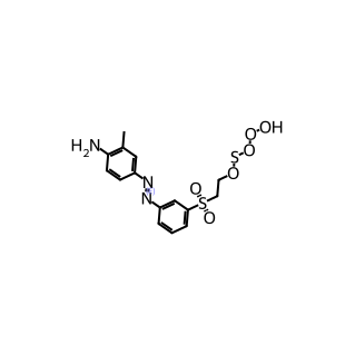 Cc1cc(/N=N/c2cccc(S(=O)(=O)CCOSOOO)c2)ccc1N